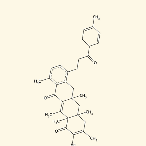 CC(=O)C1=C(C)CC2(C)CC3(C)Cc4c(CCC(=O)C5C=CC(C)=CC5)ccc(C)c4C(=O)C3=C(C)C2(C)C1=O